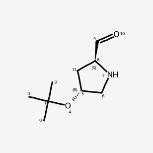 CC(C)(C)O[C@H]1CN[C@H](C=O)C1